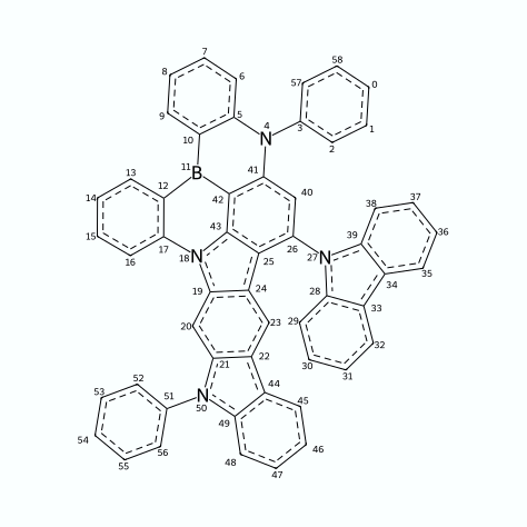 c1ccc(N2c3ccccc3B3c4ccccc4-n4c5cc6c(cc5c5c(-n7c8ccccc8c8ccccc87)cc2c3c54)c2ccccc2n6-c2ccccc2)cc1